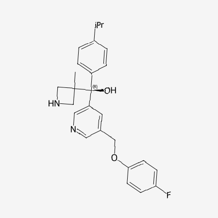 CC(C)c1ccc([C@](O)(c2cncc(COc3ccc(F)cc3)c2)C2(C)CNC2)cc1